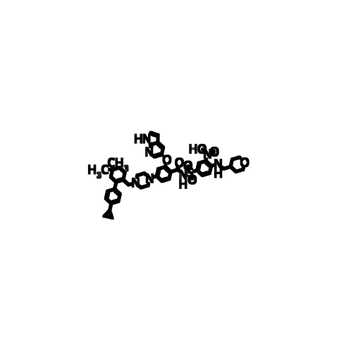 CC1(C)CCC(CN2CCN(c3ccc(C(=O)NS(=O)(=O)c4ccc(NCC5CCOCC5)c([N+](=O)O)c4)c(Oc4cnc5[nH]ccc5c4)c3)CC2)=C(c2ccc(C3CC3)cc2)C1